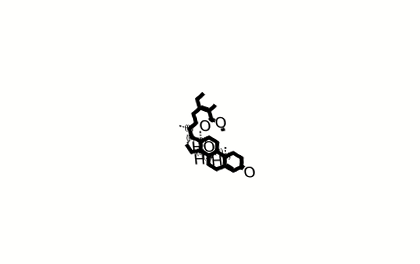 CCC(CC[C@@H](C)[C@H]1CC[C@H]2[C@@H]3CCC4=CC(=O)CC[C@]4(C)[C@@]3(O)CC[C@]12C)=C(C)C(=O)OC